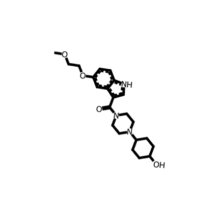 COCCOc1ccc2[nH]cc(C(=O)N3CCN(C4CCC(O)CC4)CC3)c2c1